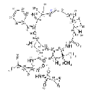 CC(C)(C)[C@@H]1NC(=O)O[C@@H]2CC[C@H]2OC/C=C/C(F)(F)c2nc3ccccc3nc2O[C@@H]2C[C@@H](C(=O)N[C@]3(C(=O)NS(=O)(=O)C4CC4)C[C@H]3C(F)F)N(C2)C1=O